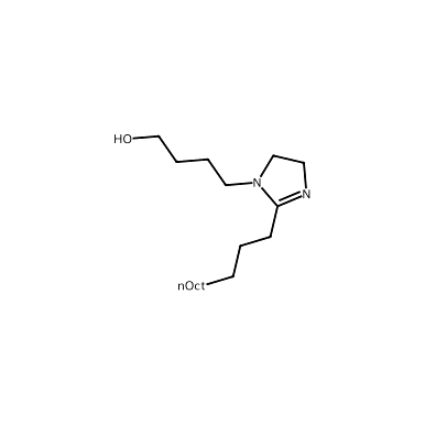 CCCCCCCCCCCC1=NCCN1CCCCO